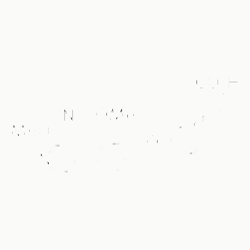 COc1cc(-c2ccc(C3CCc4ccc([C@H](C5CC5)[C@H](C)C(=O)O)cc4O3)cc2C(CN2CCCC2)OC)ccn1